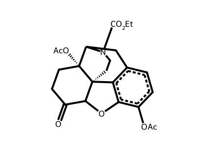 CCOC(=O)N1CC[C@]23c4c5ccc(OC(C)=O)c4OC2C(=O)CC[C@@]3(OC(C)=O)C1C5